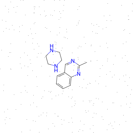 C1CNCCN1.Cc1ncc2ccccc2n1